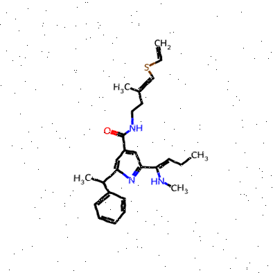 C=CS/C=C(\C)CCNC(=O)c1cc(/C(=C/CC)NC)nc(C(C)c2ccccc2)c1